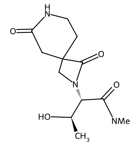 CNC(=O)[C@H]([C@@H](C)O)N1CC2(CCNC(=O)C2)C1=O